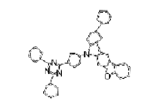 c1ccc(-c2ccc3c(c2)c2cc4c(cc2n3-c2ccc(-c3nc(-c5ccccc5)nc(-c5ccccc5)n3)cc2)oc2ccccc24)cc1